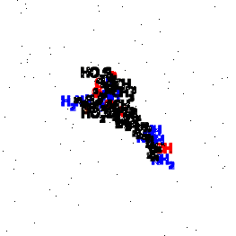 CC1(C)[C@H](NC(=O)/C(=N\O[C@](C)(C(=O)O)[C@H]2CCc3cc(C4CN=C(NC[C@H](O)CN)NC4)ccc3O2)c2csc(N)n2)C(=O)N1OS(=O)(=O)O